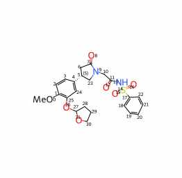 COc1ccc([C@@H]2CC(=O)N(CC(=O)NS(=O)(=O)c3ccccc3)C2)cc1OC1CCCO1